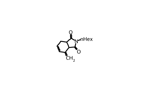 C=C1C=CCC2C(=O)N(CCCCCC)C(=O)C12